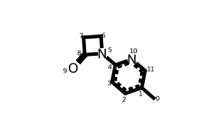 Cc1ccc(N2CCC2=O)nc1